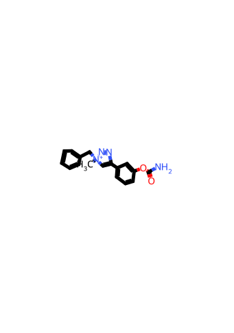 C[N+]1(Cc2ccccc2)C=C(c2cccc(OC(N)=O)c2)N=N1